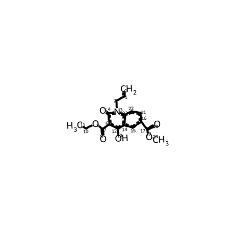 C=CCn1c(=O)c(C(=O)OCC)c(O)c2cc(C(=O)OC)ccc21